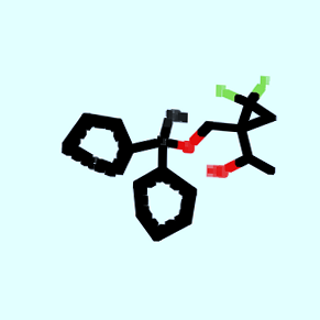 CC(O)C1(CO[Si](c2ccccc2)(c2ccccc2)C(C)(C)C)CC1(F)F